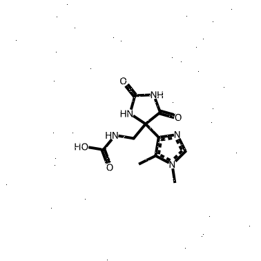 Cc1c(C2(CNC(=O)O)NC(=O)NC2=O)ncn1C